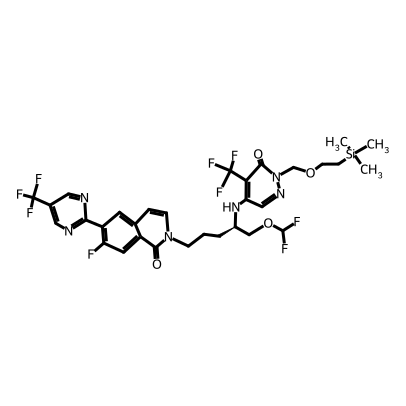 C[Si](C)(C)CCOCn1ncc(N[C@H](CCCn2ccc3cc(-c4ncc(C(F)(F)F)cn4)c(F)cc3c2=O)COC(F)F)c(C(F)(F)F)c1=O